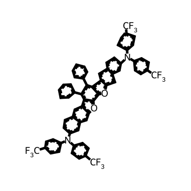 FC(F)(F)c1ccc(N(c2ccc(C(F)(F)F)cc2)c2ccc3cc4c(cc3c2)oc2c3oc5cc6cc(N(c7ccc(C(F)(F)F)cc7)c7ccc(C(F)(F)F)cc7)ccc6cc5c3c(-c3ccccc3)c(-c3ccccc3)c42)cc1